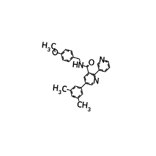 COc1ccc(CNC(=O)c2cc(-c3cc(C)cc(C)c3)cnc2-c2cccnc2)cc1